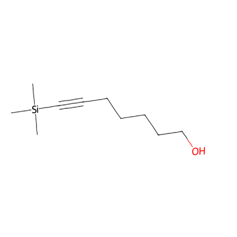 C[Si](C)(C)C#CCCCCCO